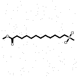 COC(=O)CCCCCCCCCCC[Si](C)(Cl)Cl